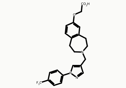 O=C(O)COc1ccc2c(c1)CCN(Cc1cnn(-c3ccc(C(F)(F)F)cc3)c1)CC2